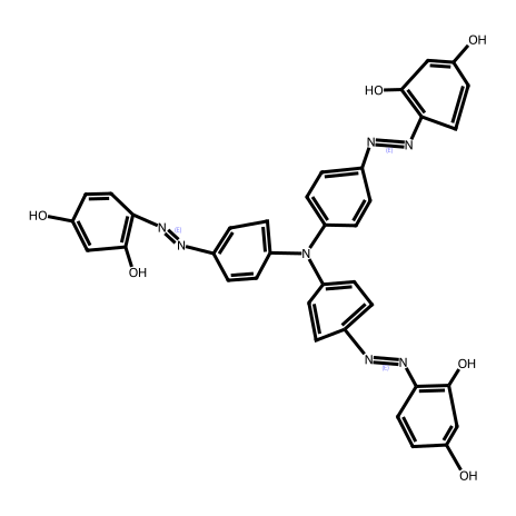 Oc1ccc(/N=N/c2ccc(N(c3ccc(/N=N/c4ccc(O)cc4O)cc3)c3ccc(/N=N/c4ccc(O)cc4O)cc3)cc2)c(O)c1